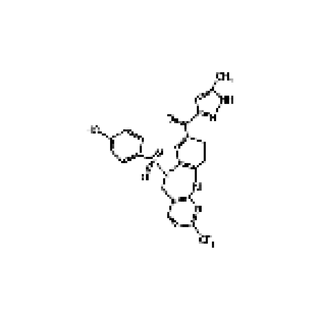 Cc1cc(C(=O)C2=CC3=C(CC2)Nc2nc(C(F)(F)F)ccc2CN3S(=O)(=O)c2ccc(O)cc2)n[nH]1